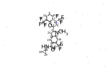 Cn1c(C(=O)/C=C(\c2cccc(C(F)(F)F)c2)C(F)(F)F)cc2cc(C(=O)NC3CC3)c(C(F)(F)F)cc21